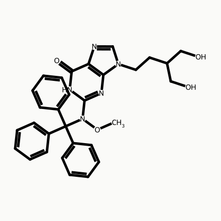 CON(c1nc2c(ncn2CCC(CO)CO)c(=O)[nH]1)C(c1ccccc1)(c1ccccc1)c1ccccc1